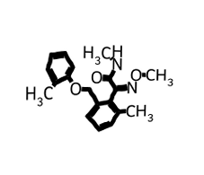 CNC(=O)C(=NOC)c1c(C)cccc1COc1ccccc1C